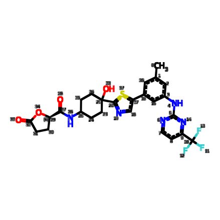 Cc1cc(Nc2nccc(C(F)(F)F)n2)cc(-c2cnc(C3(O)CCC(NC(=O)[C@H]4CCC(=O)O4)CC3)s2)c1